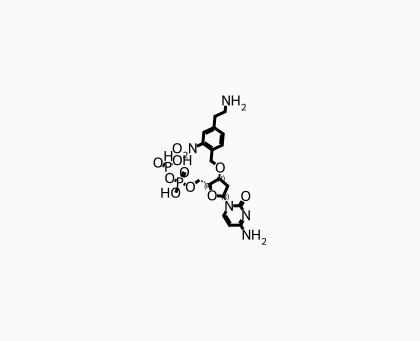 NCCc1ccc(CO[C@@H]2C[C@H](n3ccc(N)nc3=O)O[C@@H]2COP(=O)(O)O[PH](=O)O)c([N+](=O)[O-])c1